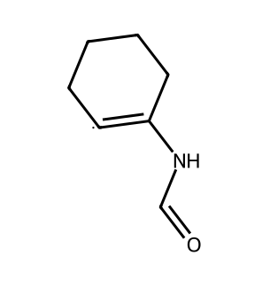 O=CNC1=[C]CCCC1